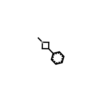 CN1CC(c2ccccc2)C1